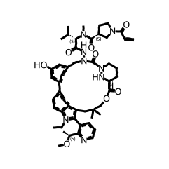 C=CC(=O)N1CC[C@H](C(=O)N(C)[C@H](C(=O)NN2Cc3cc(O)cc(c3)-c3ccc4c(c3)c(c(-c3cccnc3[C@H](C)OC)n4CC)CC(C)(C)COC(=O)[C@@H]3CCCN(N3)C2=O)C(C)C)C1